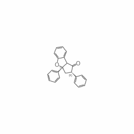 O=C1C2c3ccccc3O[C@@]2(c2ccccc2)C[C@@H]1c1ccccc1